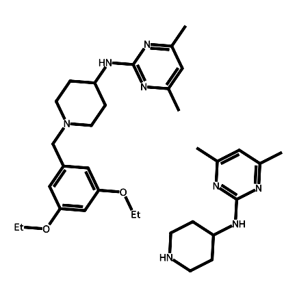 CCOc1cc(CN2CCC(Nc3nc(C)cc(C)n3)CC2)cc(OCC)c1.Cc1cc(C)nc(NC2CCNCC2)n1